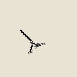 CCCCCCCCCCCCOC[C@H](CO[P@](=O)(O)OCCN)OCCCCC(=O)OC